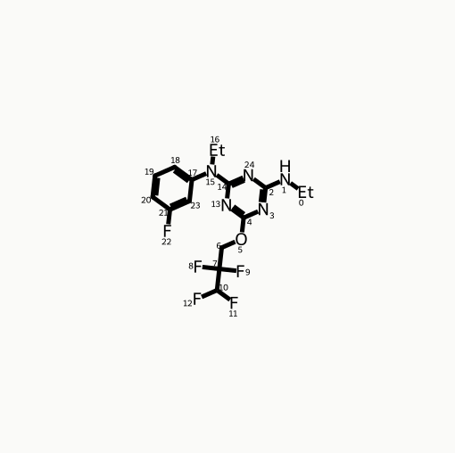 CCNc1nc(OCC(F)(F)C(F)F)nc(N(CC)c2cccc(F)c2)n1